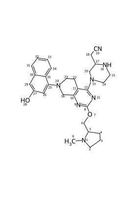 CN1CCCC1COc1nc2c(c(N3CCNC(CC#N)C3)n1)CCN(c1cc(O)cc3ccccc13)C2